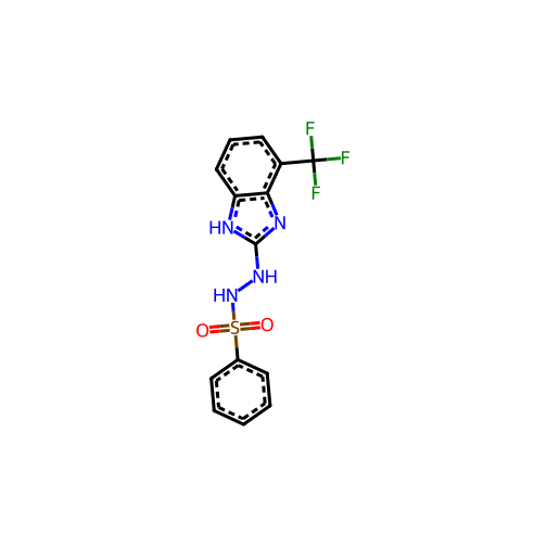 O=S(=O)(NNc1nc2c(C(F)(F)F)cccc2[nH]1)c1ccccc1